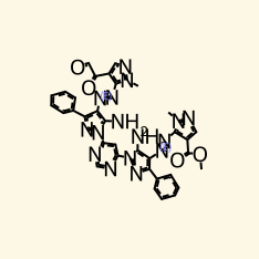 COC(=O)c1cnn(C)c1/N=N/c1c(-c2ccccc2)nn(-c2cc(-n3nc(-c4ccccc4)c(/N=N/c4c(C(=O)C=O)cnn4C)c3N)ncn2)c1N